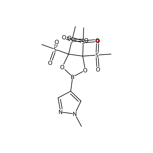 Cn1cc(B2OC(S(C)(=O)=O)(S(C)(=O)=O)C(S(C)(=O)=O)(S(C)(=O)=O)O2)cn1